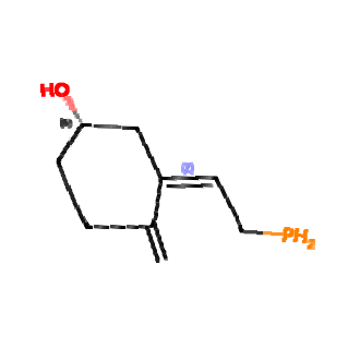 C=C1CC[C@H](O)C/C1=C/CP